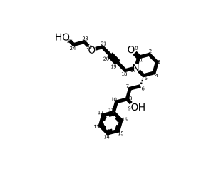 O=C1CCC[C@H](CCC(O)Cc2ccccc2)N1CC#CCOCCO